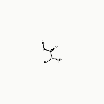 CCCN(O)C(=O)C[O]